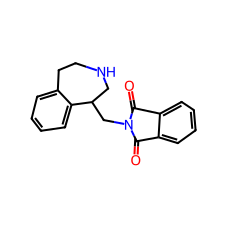 O=C1c2ccccc2C(=O)N1CC1CNCCc2ccccc21